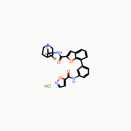 Cl.O=C(Nc1cccc(-c2cccc3cc(C(=O)N[C@H]4CN5CCC4CC5)oc23)c1)c1ccno1